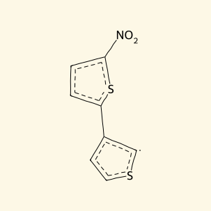 O=[N+]([O-])c1ccc(-c2[c]scc2)s1